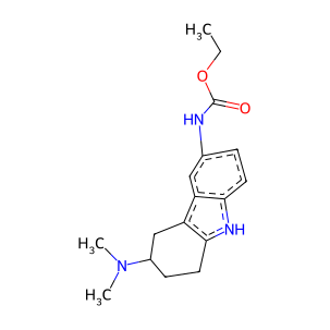 CCOC(=O)Nc1ccc2[nH]c3c(c2c1)CC(N(C)C)CC3